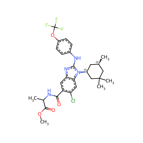 COC(=O)C(C)NC(=O)c1cc2nc(Nc3ccc(OC(F)(F)F)cc3)n([C@H]3C[C@@H](C)CC(C)(C)C3)c2cc1Cl